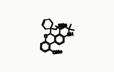 COc1cccc2c1-c1ccc3c(c1C(C1(CSC)CC=CCC1)O2)C(C)=CC(C)(C)N3